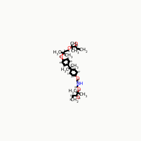 C=CC(=O)C(C)(C)OCCC(C)(C)Oc1ccc(C(C)(C)c2ccc(OCNCOC(C)(C)C(=O)C=C)cc2)cc1